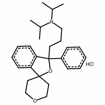 CC(C)N(CCCC1(c2ccccc2)OC2(CCOCC2)c2ccccc21)C(C)C.Cl